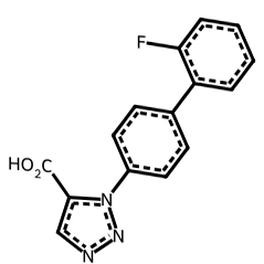 O=C(O)c1cnnn1-c1ccc(-c2ccccc2F)cc1